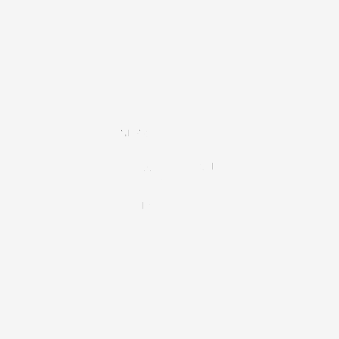 CC(=O)NC=COC1CC(C)CCC1C(C)C